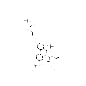 C=CCC(C(=O)OCC)N(C(=O)OC(C)(C)C)c1cc(NC(=O)OC)ccc1-c1ccnc(CCC=CNC(=O)OC(C)(C)C)c1